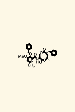 Bc1cc(OC)c(OCc2ccccc2)c(C(=O)NC2COC(=O)[C@H](Cc3ccccc3)C[C@H](C)OC2=O)n1